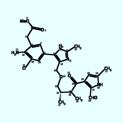 COC(=O)Cc1cc(-c2[nH]c(C)nc2COC[C@@H](C)N(C)C(=O)c2cc(C)[nH]c2C=O)cc(Cl)c1N